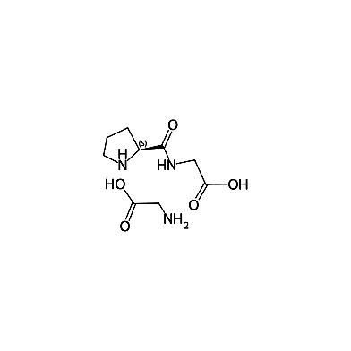 NCC(=O)O.O=C(O)CNC(=O)[C@@H]1CCCN1